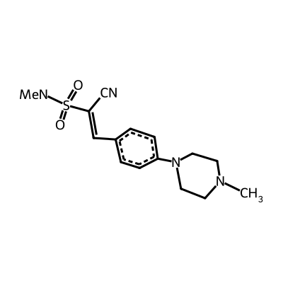 CNS(=O)(=O)/C(C#N)=C/c1ccc(N2CCN(C)CC2)cc1